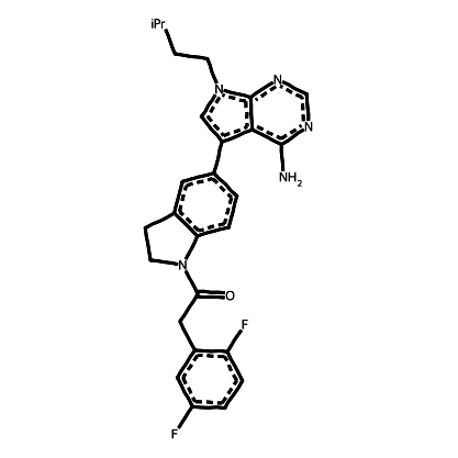 CC(C)CCn1cc(-c2ccc3c(c2)CCN3C(=O)Cc2cc(F)ccc2F)c2c(N)ncnc21